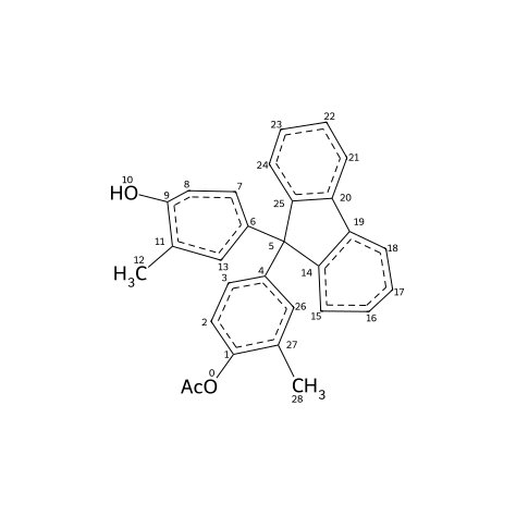 CC(=O)Oc1ccc(C2(c3ccc(O)c(C)c3)c3ccccc3-c3ccccc32)cc1C